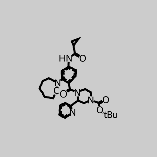 CC(C)(C)OC(=O)N1CCN(C(=O)c2ccc(NC(=O)C3CC3)cc2N2CCCCCC2)C(c2ccccn2)C1